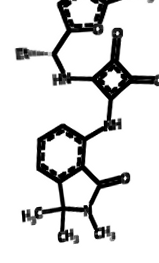 CC[C@@H](Nc1c(Nc2cccc3c2C(=O)N(C)C3(C)C)c(=O)c1=O)c1ccc(C)o1